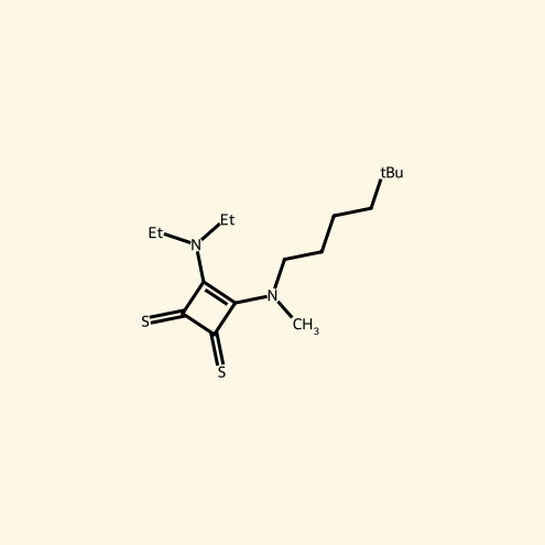 CCN(CC)c1c(N(C)CCCCC(C)(C)C)c(=S)c1=S